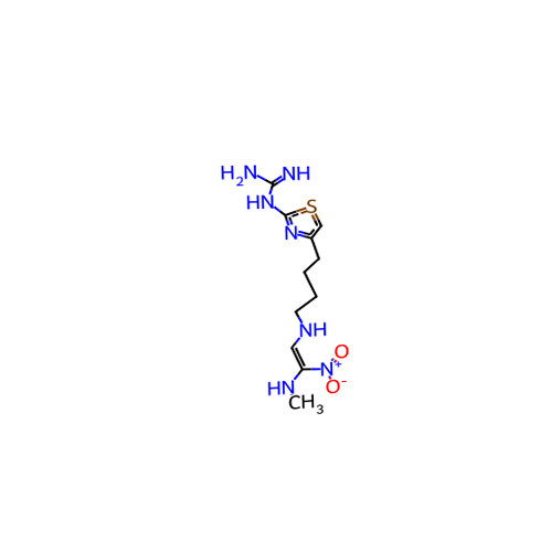 CNC(=CNCCCCc1csc(NC(=N)N)n1)[N+](=O)[O-]